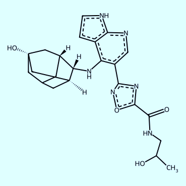 CC(O)CNC(=O)c1nc(-c2cnc3[nH]ccc3c2N[C@H]2[C@@H]3CC4C[C@H]2C[C@@](O)(C4)C3)no1